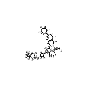 Nc1ncnc2c1c(-c1ccc3c(c1)OC(c1ccccn1)CC3)cn2C1CC(CN2CC3CC2CS3(=O)=O)C1